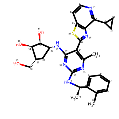 Cc1ccccc1[C@@H](C)Nc1nc(C)c(-c2nc3c(C4CC4)nccc3s2)c(N[C@@H]2C[C@H](CO)[C@@H](O)[C@H]2O)n1